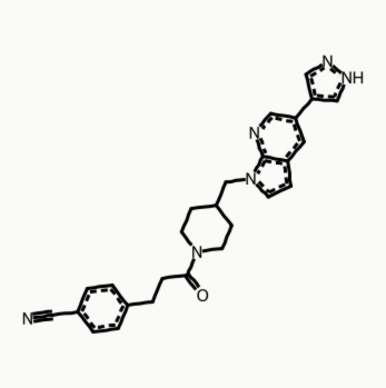 N#Cc1ccc(CCC(=O)N2CCC(Cn3ccc4cc(-c5cn[nH]c5)cnc43)CC2)cc1